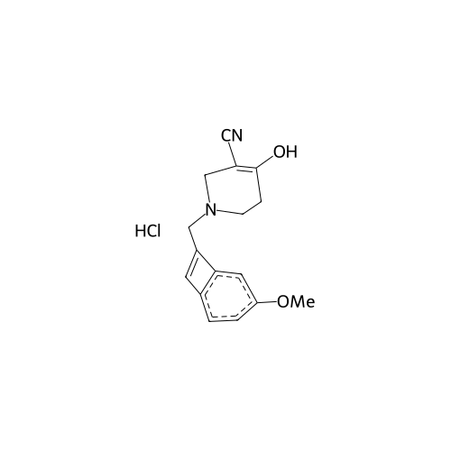 COc1ccc2c(c1)C(CN1CCC(O)=C(C#N)C1)=C2.Cl